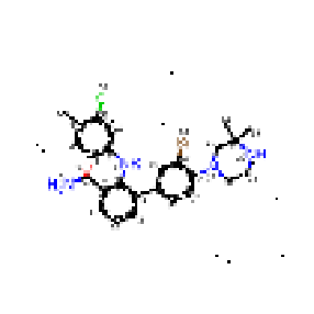 Cc1ccc(Nc2c(C(N)=O)cccc2-c2ccc(N3CCNC(C)(C)C3)c(Br)c2)cc1Cl